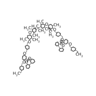 C=Cc1ccc(COc2ccc(OCc3ccc(COc4c(C)cc(Oc5c(C)cc(C(C)(C)c6cc(C)c(Oc7cc(C)c(OCc8ccc(COc9ccc(OCc%10ccc(C=C)cc%10)c(P%10(=O)Oc%11ccccc%11-c%11ccccc%11%10)c9)cc8)c(C)c7)c(C)c6)cc5C)cc4C)cc3)c(P3(=O)Oc4ccccc4-c4ccccc43)c2)cc1